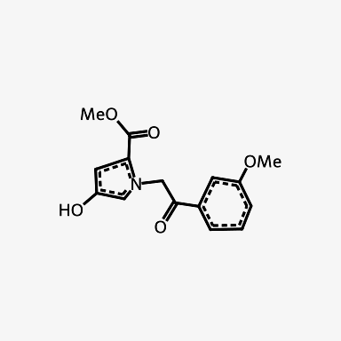 COC(=O)c1cc(O)cn1CC(=O)c1cccc(OC)c1